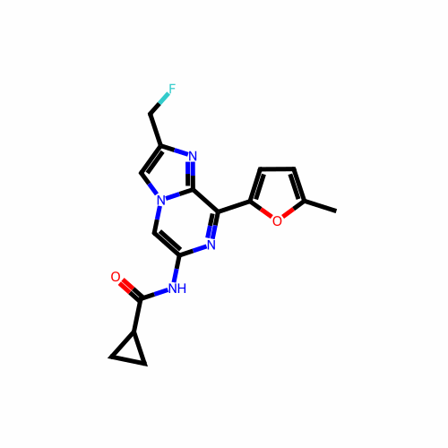 Cc1ccc(-c2nc(NC(=O)C3CC3)cn3cc(CF)nc23)o1